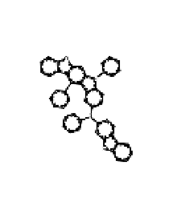 c1ccc(-c2c3c(cc4c2c2cc(N(c5ccccc5)c5ccc6c(c5)sc5ccccc56)ccc2n4-c2ccccc2)oc2ccccc23)cc1